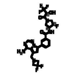 Nc1ncnn2c(-c3cccc(C(=O)N[C@@H]4CN(C(=O)[C@@H](O)C(F)(F)F)C[C@@H]4F)c3)cc(CN3CC(F)(F)C3)c12